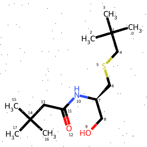 CC(C)(C)CSC[C@@H](CO)NC(=O)CC(C)(C)C